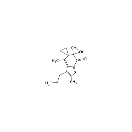 CCCC1=C(C)C=C2C(=O)C(C)(O)C3(CC3)C(C)=C21